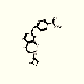 COC(=O)c1ccc(Oc2ccc3c(c2)CCN(C2CCC2)CC3)nc1